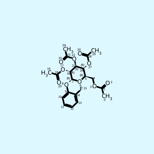 CC(=O)OC[C@H]1O[C@H](Oc2ccccc2F)[C@H](OC(C)=O)[C@@H](OC(C)=O)[C@@H]1OC(C)=O